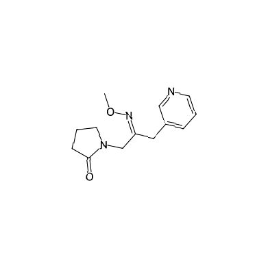 CON=C(Cc1cccnc1)CN1CCCC1=O